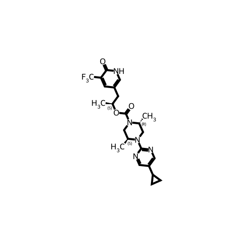 C[C@@H]1CN(c2ncc(C3CC3)cn2)[C@@H](C)CN1C(=O)O[C@@H](C)Cc1c[nH]c(=O)c(C(F)(F)F)c1